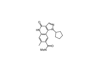 CNC(=O)c1cc2c(cc1C)[nH]c(=O)c1cnn(C3CCCC3)c12